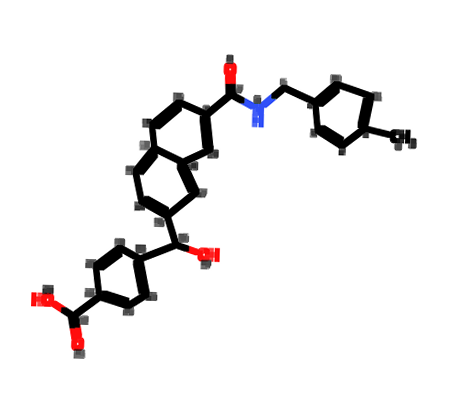 Cc1ccc(CNC(=O)c2ccc3ccc(C(O)c4ccc(C(=O)O)cc4)cc3c2)cc1